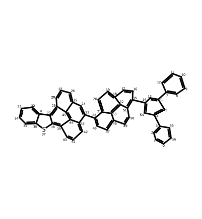 c1ccc(-c2cc(-c3ccccc3)cc(-c3ccc4ccc5c(-c6cc7cccc8c9c%10ccccc%10sc9c9cccc6c9c78)ccc6ccc3c4c65)c2)cc1